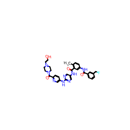 Cc1ccc(NC(=O)c2cccc(CF)c2)cc1C(=O)Nc1cnc(Nc2ccc(C(=O)N3CCN(CCO)CC3)nc2)nc1